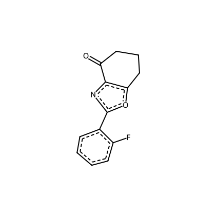 O=C1CCCc2oc(-c3ccccc3F)nc21